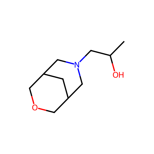 CC(O)CN1CC2COCC(C2)C1